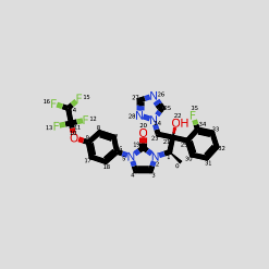 C[C@@H](n1ccn(-c2ccc(OC(F)(F)C(F)F)cc2)c1=O)[C@](O)(Cn1cncn1)c1ccccc1F